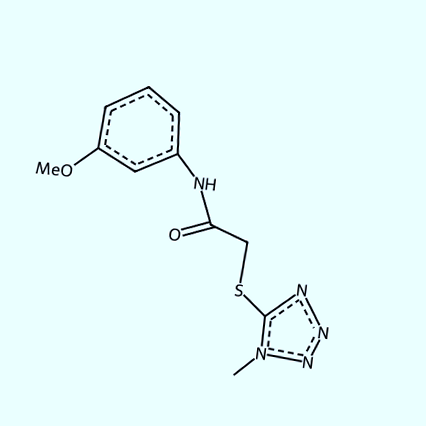 COc1cccc(NC(=O)CSc2nnnn2C)c1